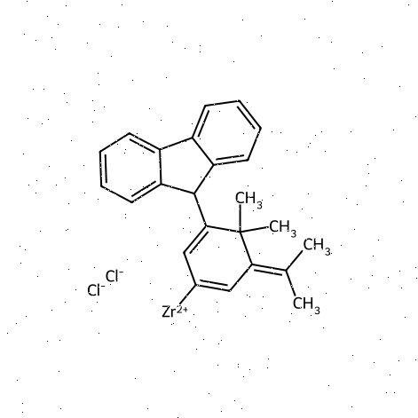 CC(C)=C1C=[C]([Zr+2])C=C(C2c3ccccc3-c3ccccc32)C1(C)C.[Cl-].[Cl-]